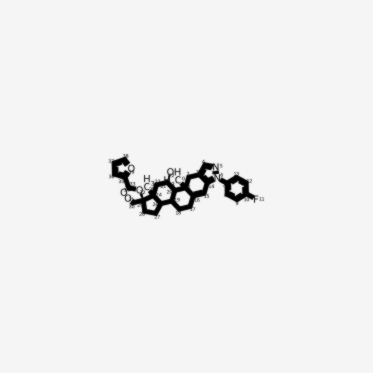 CC12Cc3cnn(-c4ccc(F)cc4)c3C=C1CCC1C2[C@@H](O)CC2(C)C1CC[C@@]2(C=O)OC(=O)c1ccco1